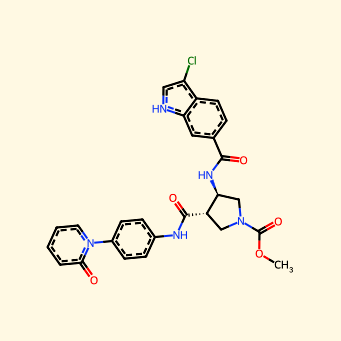 COC(=O)N1C[C@H](NC(=O)c2ccc3c(Cl)c[nH]c3c2)[C@@H](C(=O)Nc2ccc(-n3ccccc3=O)cc2)C1